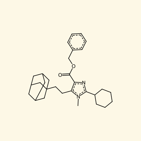 Cn1c(C2CCCCC2)nc(C(=O)OCc2ccccc2)c1CCC12CC3CC(CC(C3)C1)C2